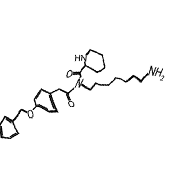 NCCCCCCCN(C(=O)Cc1ccc(OCc2ccccc2)cc1)C(=O)C1CCCCN1